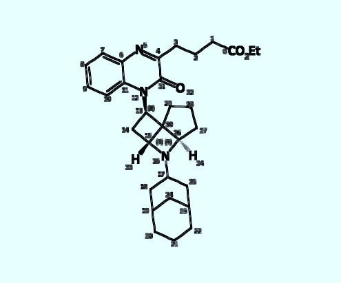 CCOC(=O)CCCc1nc2ccccc2n([C@@H]2C[C@H]3N(C4CC5CCCC(C5)C4)[C@@H]4CCCC432)c1=O